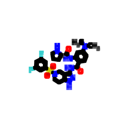 CN(C)c1ccc(C(=O)Nc2n[nH]c3c2CN(S(=O)(=O)c2cc(F)cc(F)c2)CC3)c(NC(=O)[C@@H]2CCCN2)c1